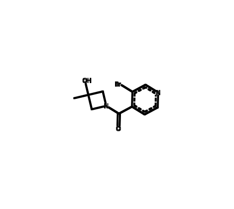 CC1(O)CN(C(=O)c2ccncc2Br)C1